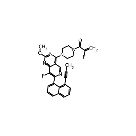 C=C(F)C(=O)N1CCN(c2nc(OC)nc3c(F)c(-c4cccc5cccc(C#CC)c45)ncc23)CC1